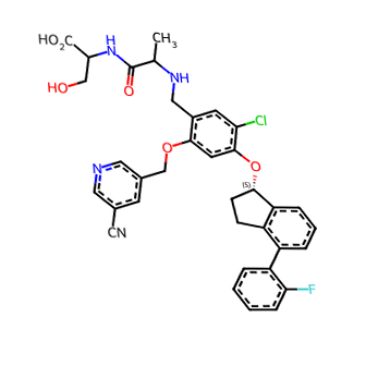 CC(NCc1cc(Cl)c(O[C@H]2CCc3c(-c4ccccc4F)cccc32)cc1OCc1cncc(C#N)c1)C(=O)NC(CO)C(=O)O